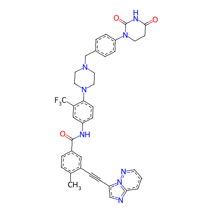 Cc1ccc(C(=O)Nc2ccc(N3CCN(Cc4ccc(N5CCC(=O)NC5=O)cc4)CC3)c(C(F)(F)F)c2)cc1C#Cc1cnc2cccnn12